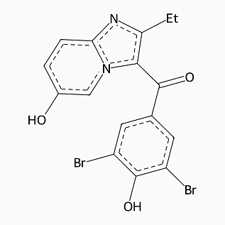 CCc1nc2ccc(O)cn2c1C(=O)c1cc(Br)c(O)c(Br)c1